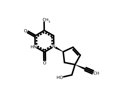 C#C[C@]1(CO)C=C[C@H](n2cc(C)c(=O)[nH]c2=O)C1